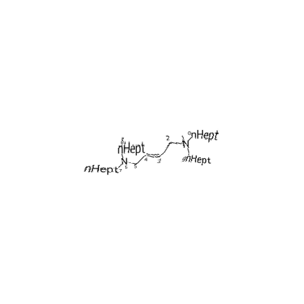 CCCCCCCN(C/C=C/CN(CCCCCCC)CCCCCCC)CCCCCCC